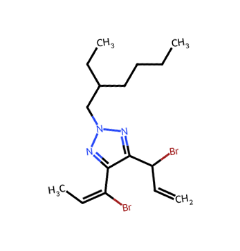 C=CC(Br)c1nn(CC(CC)CCCC)nc1/C(Br)=C\C